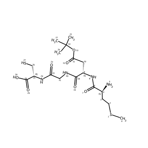 CSCC[C@H](N)C(=O)N[C@@H](CC(=O)OC(C)(C)C)C(=O)NCC(=O)N[C@@H](CS)C(=O)O